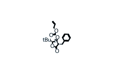 C=CCOC(=O)ON1[C@H](C(C)(C)C)OC(=O)[C@@H]1Cc1ccccc1